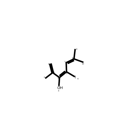 C=C(C)/C(O)=C(/I)C=C(C)C